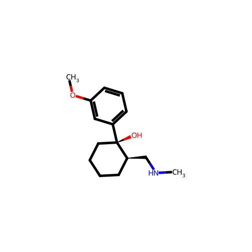 CNC[C@H]1CCCC[C@]1(O)c1cccc(OC)c1